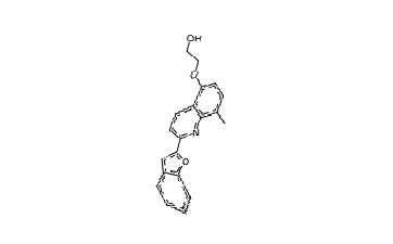 Cc1ccc(OCCO)c2ccc(-c3cc4ccccc4o3)nc12